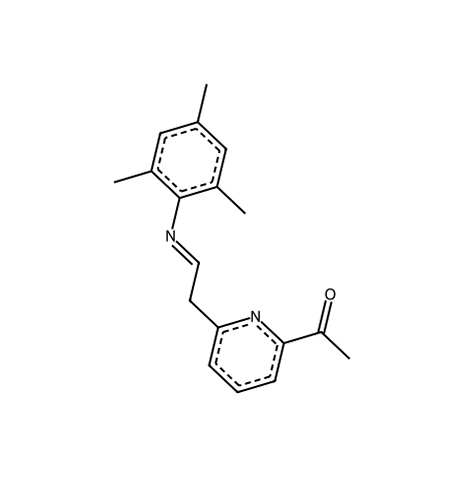 CC(=O)c1cccc(CC=Nc2c(C)cc(C)cc2C)n1